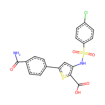 NC(=O)c1ccc(-c2cc(NS(=O)(=O)c3ccc(Cl)cc3)c(C(=O)O)s2)cc1